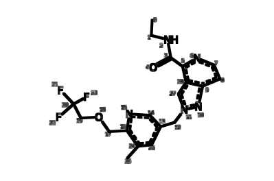 CCNC(=O)c1nccc2nn(Cc3cnc(COCC(F)(F)F)c(C)c3)cc12